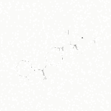 CC(C)(C)C(=O)ON1CCN(C(=O)N2CCOCC2)CC1